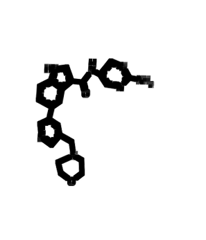 Nc1ncc(NC(=O)c2c[nH]c3ccc(-c4cncc(CN5CCOCC5)c4)cc23)cn1